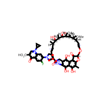 CO[C@H]1/C=C/O[C@@]2(C)Oc3c(C)c(O)c4c(O)c(c(CN[C@@H]5CCN(c6cc7c(cc6F)c(=O)c(C(=O)O)cn7C6CC6)C5)c(O)c4c3C2=O)NC(=O)/C(C)=C\C=C\[C@H](C)[C@H](O)[C@@H](C)[C@@H](O)[C@@H](C)[C@H](OC(C)=O)[C@@H]1C